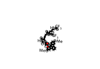 COc1ccc(C(C[C@@]23COC([C@H](n4cc(C#CCNC(=O)C(CCCCNC(=O)C(F)(F)F)NC(=O)C(F)(F)F)c(=O)[nH]c4=O)O2)[C@H]3O)(c2ccccc2)c2ccc(OC)cc2)cc1